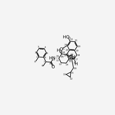 Cc1ccccc1C(C)C(=O)N[C@H]1CC[C@@]2(O)[C@H]3Cc4ccc(O)c5c4[C@@]2(CCN3CC2CC2)[C@H]1O5